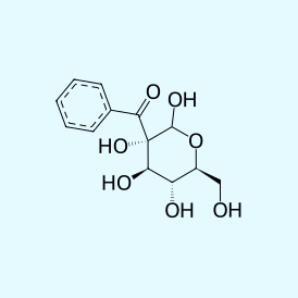 O=C(c1ccccc1)[C@@]1(O)C(O)O[C@@H](CO)[C@H](O)[C@H]1O